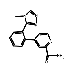 Cn1cnnc1-c1ccccc1-c1ccnc(C(N)=O)c1